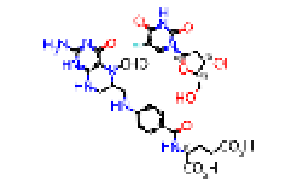 Nc1nc(=O)c2c([nH]1)NCC(CNc1ccc(C(=O)N[C@@H](CCC(=O)O)C(=O)O)cc1)N2C=O.O=c1[nH]c(=O)n([C@H]2C[C@H](O)[C@@H](CO)O2)cc1F